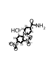 Cl.NC(=O)c1cc[n+](-c2ccc([N+](=O)[O-])cc2[N+](=O)[O-])cc1